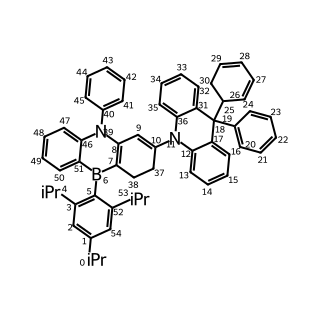 CC(C)c1cc(C(C)C)c(B2C3=C(C=C(N4c5ccccc5C(c5ccccc5)(C5C=CC=CC5)c5ccccc54)CC3)N(c3ccccc3)c3ccccc32)c(C(C)C)c1